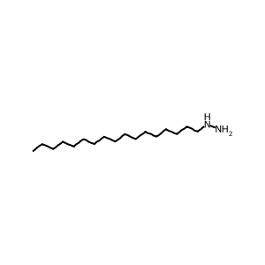 CCCCCCCCCCCCCCCCCNN